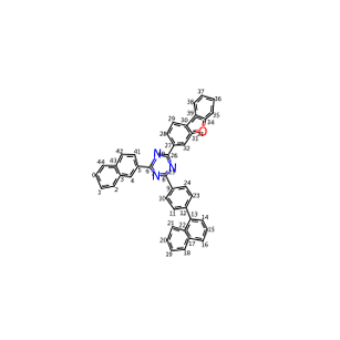 c1ccc2cc(-c3nc(-c4ccc(-c5cccc6ccccc56)cc4)nc(-c4ccc5c(c4)oc4ccccc45)n3)ccc2c1